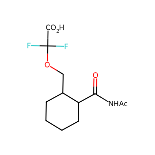 CC(=O)NC(=O)C1CCCCC1COC(F)(F)C(=O)O